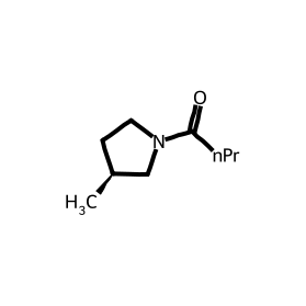 CCCC(=O)N1CC[C@H](C)C1